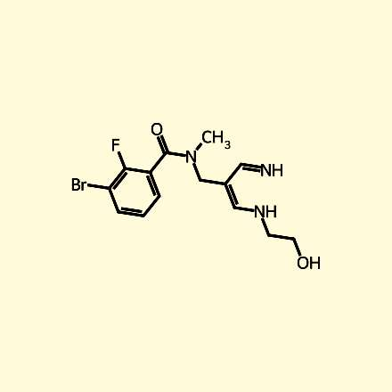 CN(C/C(C=N)=C/NCCO)C(=O)c1cccc(Br)c1F